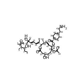 CC[C@H](O)[C@@H](C)C1(C)O[C@@H]1CC(C)(O)/C=C/C=C(\C)[C@H]1OC(=O)C[C@H](O)CC[C@@](C)(OC(C)=O)[C@@H](OC(=O)N2CCN(CCN)CC2)/C=C/[C@@H]1C